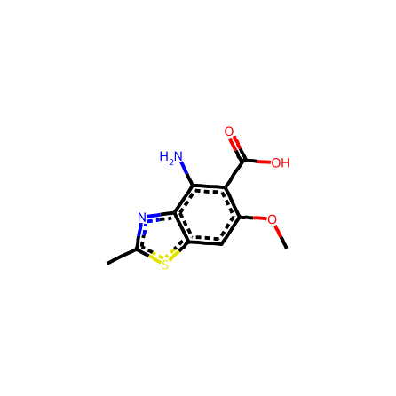 COc1cc2sc(C)nc2c(N)c1C(=O)O